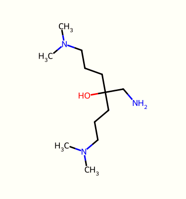 CN(C)CCCC(O)(CN)CCCN(C)C